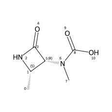 C[C@@H]1NC(=O)[C@@H]1N(C)C(=O)O